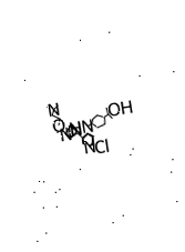 CN(C)CCOc1cnc(-c2cnc(Cl)cc2NC2CCC(C(C)(C)O)CC2)cn1